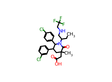 CCC(CNCC(F)(F)F)N1C(=O)C(C)(CC(=O)O)CC(c2cccc(Cl)c2)C1c1ccc(Cl)cc1